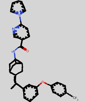 C/C(=C1/CC2CCC1CC2NC(=O)c1ccc(-n2cccc2)nc1)c1cccc(Oc2ccc(C(F)(F)F)cc2)c1